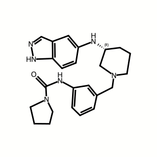 O=C(Nc1cccc(CN2CCC[C@@H](Nc3ccc4[nH]ncc4c3)C2)c1)N1CCCC1